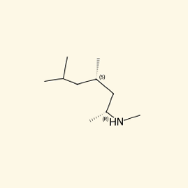 CN[C@H](C)C[C@@H](C)CC(C)C